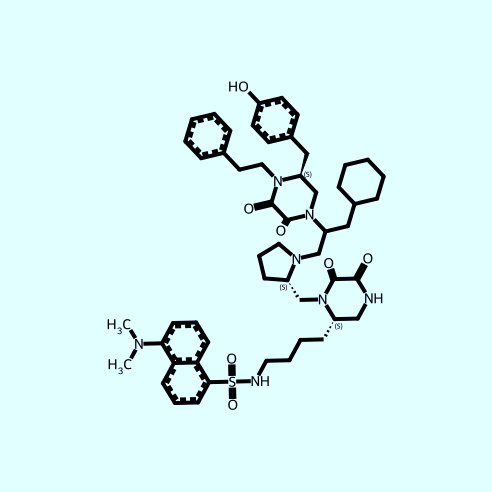 CN(C)c1cccc2c(S(=O)(=O)NCCCC[C@H]3CNC(=O)C(=O)N3C[C@@H]3CCCN3CC(CC3CCCCC3)N3C[C@H](Cc4ccc(O)cc4)N(CCc4ccccc4)C(=O)C3=O)cccc12